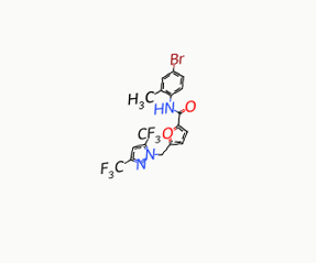 Cc1cc(Br)ccc1NC(=O)c1ccc(Cn2nc(C(F)(F)F)cc2C(F)(F)F)o1